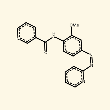 COc1cc(/N=N\c2ccccn2)ccc1NC(=O)c1cccnc1